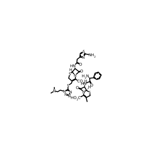 CC1=C(C(=O)O)N2C(=O)[C@@H](NC(=O)[C@H](N)c3ccccc3)[C@H]2SC1.CN(C)CCn1nnnc1SCC1=C(C(=O)O)N2C(=O)[C@@H](NC(=O)Cc3csc(N)n3)[C@H]2SC1